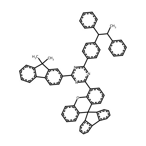 CC(c1ccccc1)C(c1ccccc1)c1ccc(-c2nc(-c3ccc4c(c3)C(C)(C)c3ccccc3-4)nc(-c3cccc4c3Oc3ccccc3C43c4ccccc4-c4ccccc43)n2)cc1